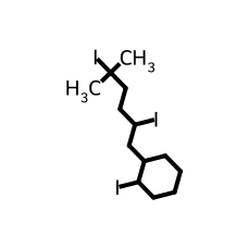 CC(C)(I)CCC(I)CC1CCCCC1I